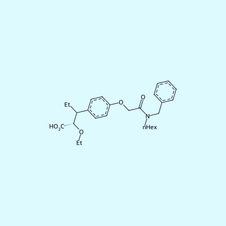 CCCCCCN(Cc1ccccc1)C(=O)COc1ccc(C(CC)[C@H](OCC)C(=O)O)cc1